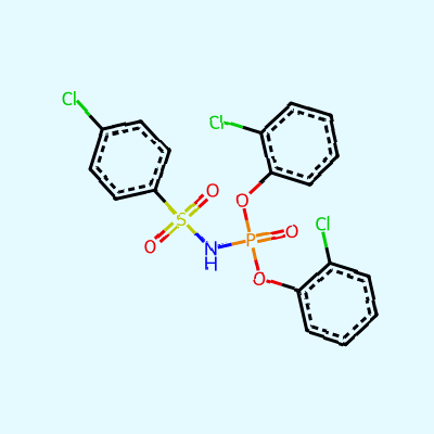 O=P(NS(=O)(=O)c1ccc(Cl)cc1)(Oc1ccccc1Cl)Oc1ccccc1Cl